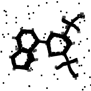 CC(C)(O)c1cc(-c2cccc3ccccc23)cc(C(C)(C)O)c1